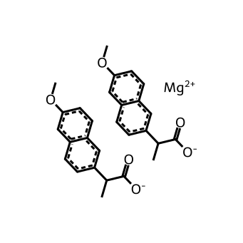 COc1ccc2cc(C(C)C(=O)[O-])ccc2c1.COc1ccc2cc(C(C)C(=O)[O-])ccc2c1.[Mg+2]